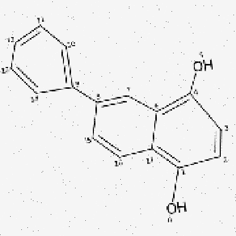 Oc1ccc(O)c2cc(-c3ccccc3)ccc12